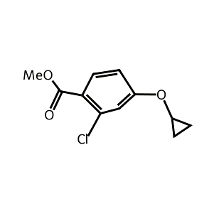 COC(=O)c1ccc(OC2CC2)cc1Cl